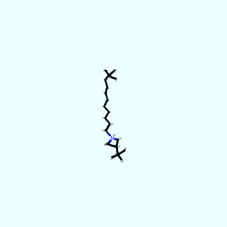 CC(C)(C)CCCCCCCCCN1CC(C(C)(C)C)C1